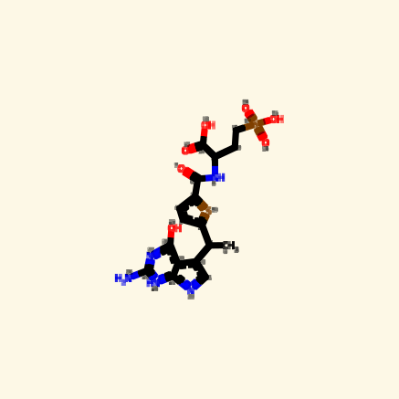 CC(c1ccc(C(=O)NC(CCS(=O)(=O)O)C(=O)O)s1)c1cnc2[nH]c(N)nc(O)c1-2